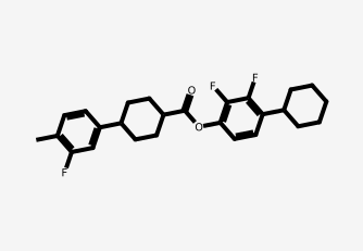 Cc1ccc(C2CCC(C(=O)Oc3ccc(C4CCCCC4)c(F)c3F)CC2)cc1F